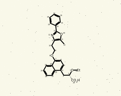 CCO[C@@H](Cc1ccc(OCCc2nc(-c3ccccc3)oc2C)c2ccccc12)C(=O)O